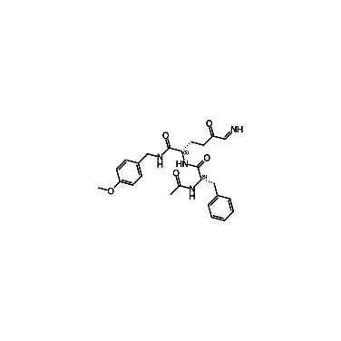 COc1ccc(CNC(=O)[C@H](CCC(=O)C=N)NC(=O)[C@H](Cc2ccccc2)NC(C)=O)cc1